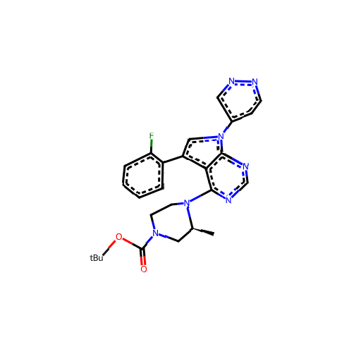 C[C@H]1CN(C(=O)OC(C)(C)C)CCN1c1ncnc2c1c(-c1ccccc1F)cn2-c1ccnnc1